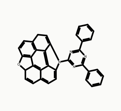 C1=CC2Oc3ccc4c5c3c2c2c1ccc1c2c5c(n1-c1nc(-c2ccccc2)nc(-c2ccccc2)n1)=CC4